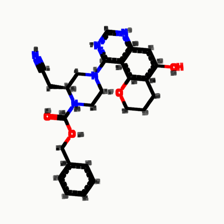 N#CC[C@H]1CN(c2ncnc3cc(O)c4c(c23)OCCC4)CCN1C(=O)OCc1ccccc1